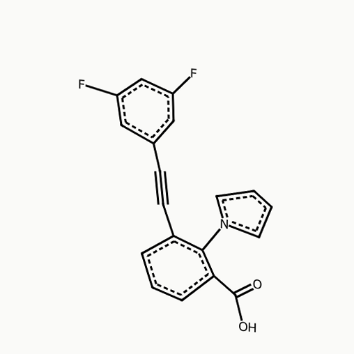 O=C(O)c1cccc(C#Cc2cc(F)cc(F)c2)c1-n1cccc1